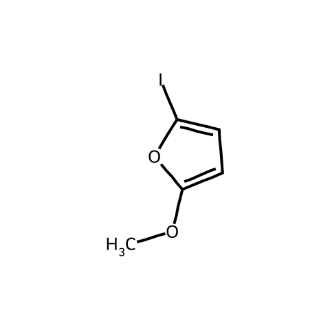 COc1ccc(I)o1